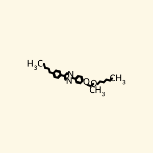 CCCCCCOC(C)COc1ccc(-c2ncc(-c3ccc(CCCCC)cc3)cn2)cc1